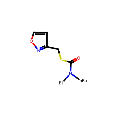 CCCCN(CC)C(=O)SCc1ccon1